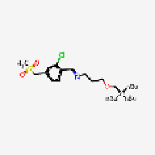 CCC[CH2][Sn]([CH2]CCC)([CH2]CCC)[CH2]OCCC/N=C/c1ccc(CS(C)(=O)=O)cc1Cl